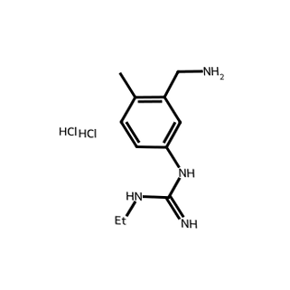 CCNC(=N)Nc1ccc(C)c(CN)c1.Cl.Cl